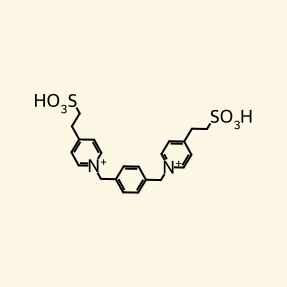 O=S(=O)(O)CCc1cc[n+](Cc2ccc(C[n+]3ccc(CCS(=O)(=O)O)cc3)cc2)cc1